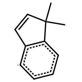 CC1(C)C=Cc2[c]cccc21